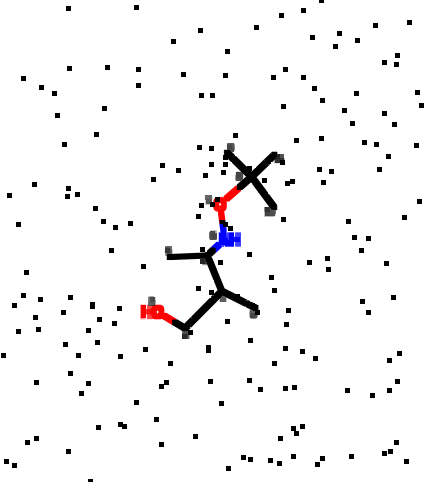 CC(CO)C(C)NOC(C)(C)C